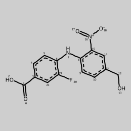 O=C(O)c1ccc(Nc2ccc(CO)cc2[N+](=O)[O-])c(F)c1